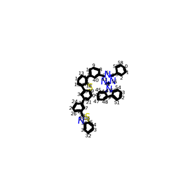 c1ccc(-c2nc(-c3cccc(-c4cccc5c4sc4ccc(-c6cccc(-c7nc8ccccc8s7)c6)cc45)c3)nc(-n3c4ccccc4c4ccccc43)n2)cc1